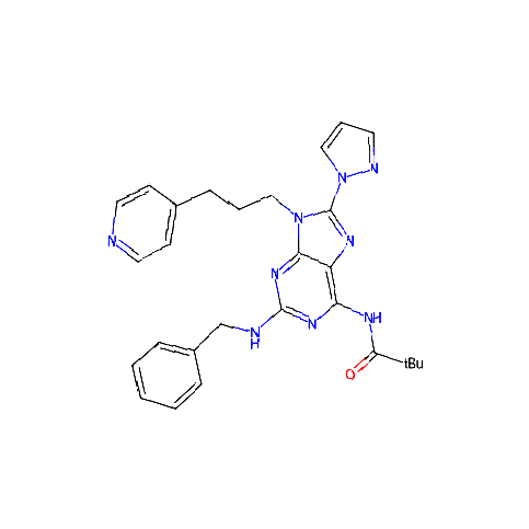 CC(C)(C)C(=O)Nc1nc(NCc2ccccc2)nc2c1nc(-n1cccn1)n2CCCc1ccncc1